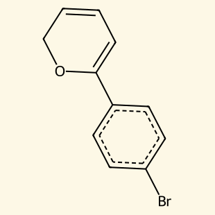 Brc1ccc(C2=CC=CCO2)cc1